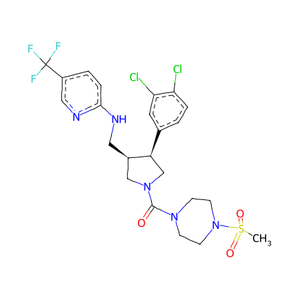 CS(=O)(=O)N1CCN(C(=O)N2C[C@@H](CNc3ccc(C(F)(F)F)cn3)[C@@H](c3ccc(Cl)c(Cl)c3)C2)CC1